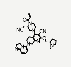 C=CC(=O)N1CCN(c2c(C#N)c(OC[C@@H]3CCCN3C)nc3c2CCN(C2=CC=CC4=NCCN24)C3)C[C@@H]1CC#N